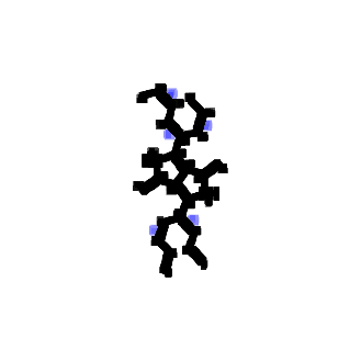 C=C/C=C\C(=C/C=C)c1[nH]c(=C)c2c(C(/C=C\C)=C/C=C\C)[nH]c(=C)c12